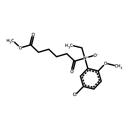 CC[N+]([O-])(C(=O)CCCCC(=O)OC)c1cc(Cl)ccc1OC